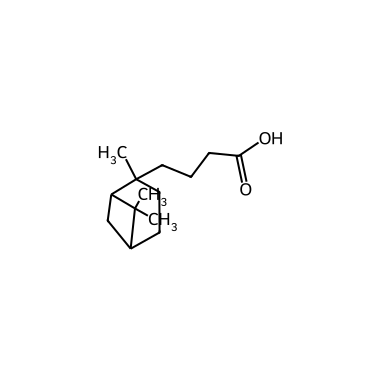 CC1(CCCC(=O)O)CCC2CC1C2(C)C